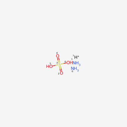 N.N.O=S(=O)(O)O.[H+]